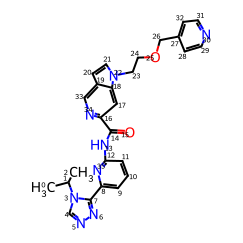 CC(C)n1cnnc1-c1cccc(NC(=O)c2cc3c(ccn3CCOCc3ccncc3)cn2)n1